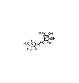 CCC(C)(C)C(=O)OCCOC1OC(CO)[C@H](O)C(O)[C@H]1O